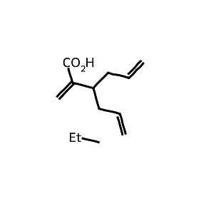 C=CCC(CC=C)C(=C)C(=O)O.CCC